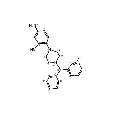 N#Cc1cc(N)ccc1N1CCN(C(c2ccccc2)c2cccnc2)CC1